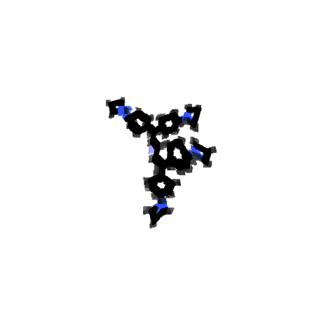 C1=CC(=[N+]2CCC2)C=CC1=C(/C=C/C=C(c1ccc(N2CCC2)cc1)c1ccc(N2CCC2)cc1)c1ccc(N2CCC2)cc1